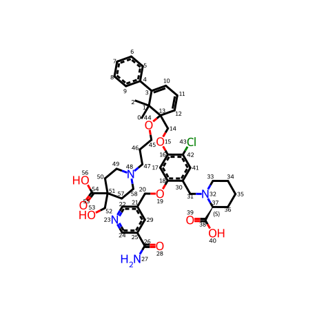 CC1(C)C(c2ccccc2)=CC=CC1(COc1cc(OCc2cncc(C(N)=O)c2)c(CN2CCCC[C@H]2C(=O)O)cc1Cl)OCCCN1CCC(CO)(C(=O)O)CC1